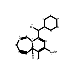 COC1=C(C)[C@@H]2C#CCN=CN2C(C(O)C2CCCCC2)=C1